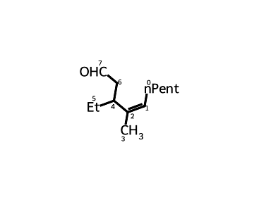 CCCCCC=C(C)C(CC)CC=O